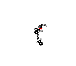 C=CC1CN2CCC1CC2[C@@H](O)c1ccnc2ccc(OCCCN3C(=O)c4ccccc4C3=O)cc12